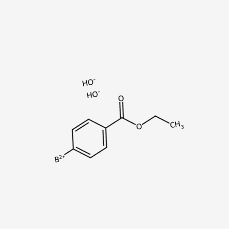 [B+2]c1ccc(C(=O)OCC)cc1.[OH-].[OH-]